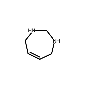 [CH]1NCC=CCN1